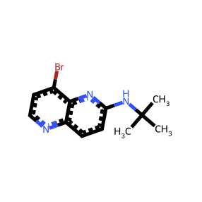 CC(C)(C)Nc1ccc2nccc(Br)c2n1